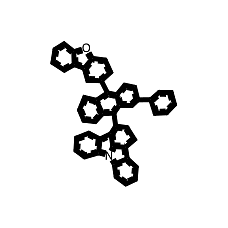 c1ccc(-c2ccc3c(-c4ccc5oc6ccccc6c5c4)c4ccccc4c(-c4ccc5c6ccccc6n6c7ccccc7c4c56)c3c2)cc1